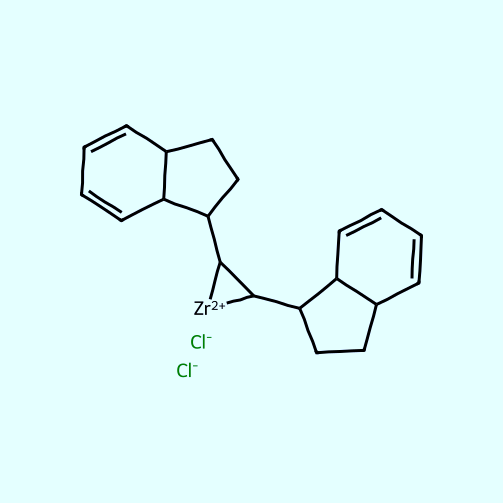 C1=CC2CCC([CH]3[Zr+2][CH]3C3CCC4C=CC=CC43)C2C=C1.[Cl-].[Cl-]